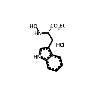 CCOC(=O)[C@H](Cc1c[nH]c2ccccc12)NO.Cl